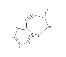 CC1(C)C#Cc2ccccc2SC1